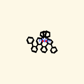 c1ccc(-c2ccccc2-c2ccc3c([nH]c4ccccc43)c2-c2ccccc2-c2c(-c3ccccc3)ccc3c2[nH]c2ccccc23)cc1